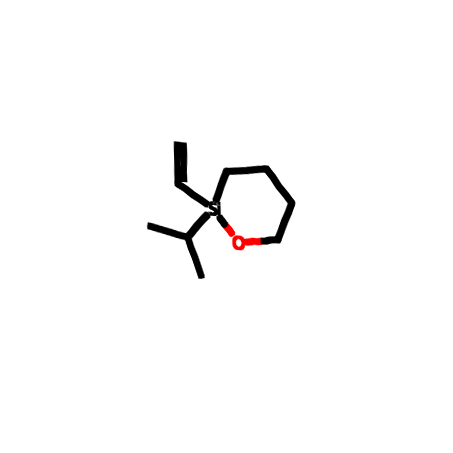 C=C[Si]1(C(C)C)CCCCO1